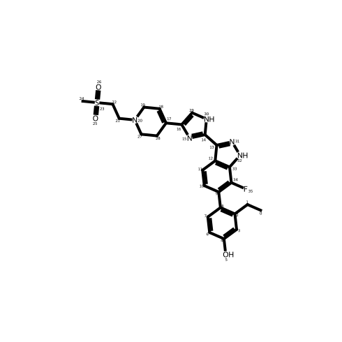 CCc1cc(O)ccc1-c1ccc2c(-c3nc(C4=CCN(CCS(C)(=O)=O)CC4)c[nH]3)n[nH]c2c1F